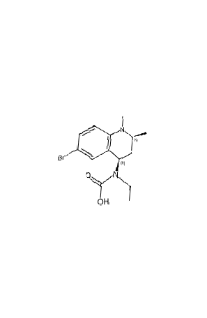 CCN(C(=O)O)[C@@H]1C[C@H](C)N(C)c2ccc(Br)cc21